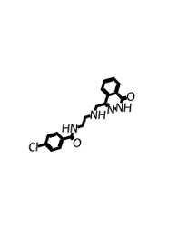 O=C(NCCNCc1n[nH]c(=O)c2ccccc12)c1ccc(Cl)cc1